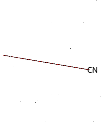 C#CC#CC#CC#CC#CC#CC#CC#CC#CC#CC#CC#CC#CC#CC#CC#CC#CC#CC#CC#CC#CC#CC#CC#CC#CC#CC#CC#CC#CC#CC#CC#CC#CC#CC#CC#CC#CC#CC#CC#CC#CC#CC#CC#CC#CC#CC#CC#CC#N